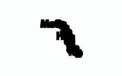 COc1ccc2ccc(S(=O)(=O)N[C@H]3CCN(Cc4ccc5ccnc(Oc6ccccc6)c5c4)C3=O)cc2c1